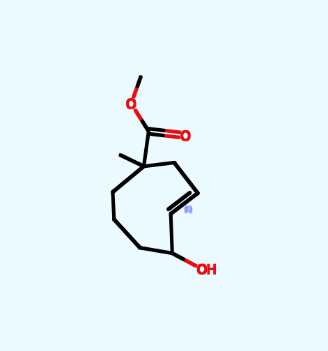 COC(=O)C1(C)C/C=C/C(O)CCC1